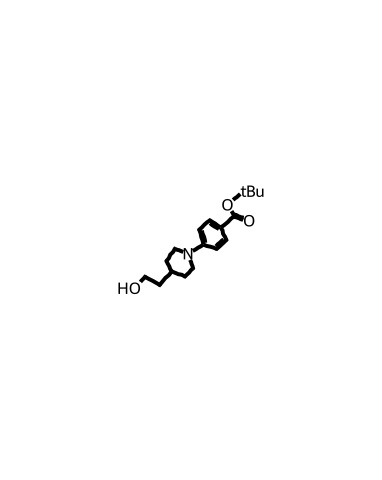 CC(C)(C)OC(=O)c1ccc(N2CCC(CCO)CC2)cc1